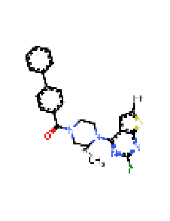 CCc1cc2c(N3CCN(C(=O)c4ccc(-c5ccccc5)cc4)C[C@H]3C)nc(Cl)nc2s1